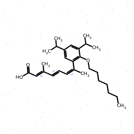 CCCCCCCOc1c(\C(C)=C/C=C/C(C)=C/C(=O)O)cc(C(C)C)cc1C(C)C